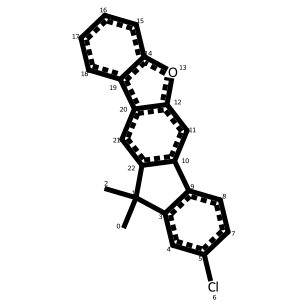 CC1(C)c2cc(Cl)ccc2-c2cc3oc4ccccc4c3cc21